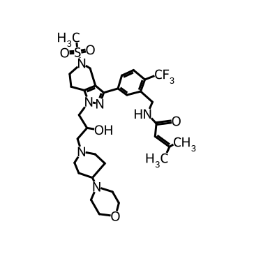 CC(C)=CC(=O)NCc1cc(-c2nn(CC(O)CN3CCC(N4CCOCC4)CC3)c3c2CN(S(C)(=O)=O)CC3)ccc1C(F)(F)F